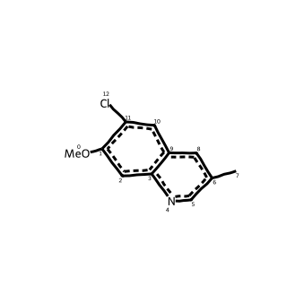 COc1cc2ncc(C)cc2cc1Cl